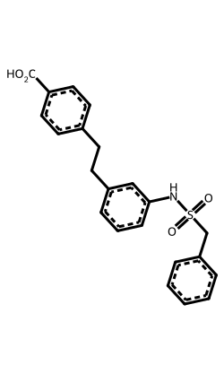 O=C(O)c1ccc(CCc2cccc(NS(=O)(=O)Cc3ccccc3)c2)cc1